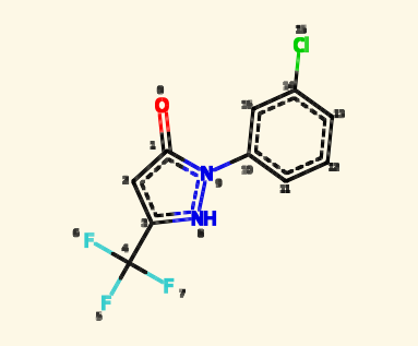 O=c1cc(C(F)(F)F)[nH]n1-c1cccc(Cl)c1